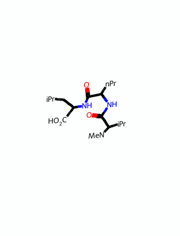 CCCC(NC(=O)C(NC)C(C)C)C(=O)NC(CC(C)C)C(=O)O